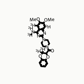 [2H]c1c(OC)c(OC)c([2H])c2c(N([2H])[2H])nc(N3CCN(C(=O)C4Oc5ccccc5OC4([2H])[2H])CC3)nc12